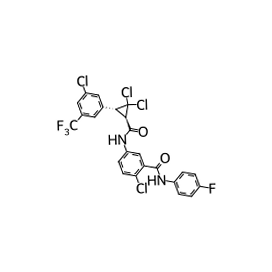 O=C(Nc1ccc(F)cc1)c1cc(NC(=O)[C@H]2[C@H](c3cc(Cl)cc(C(F)(F)F)c3)C2(Cl)Cl)ccc1Cl